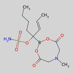 CC=CC(CCCC)(OS(N)(=O)=O)B1OC(=O)CN(C)CC(=O)O1